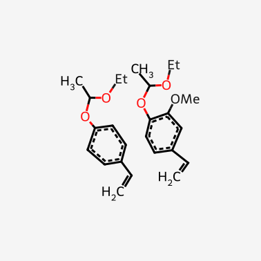 C=Cc1ccc(OC(C)OCC)c(OC)c1.C=Cc1ccc(OC(C)OCC)cc1